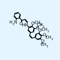 COc1cc(/C=C\c2cc(OC)c(OC)c(OC)c2)cc(N/C=C\C(=O)c2ccccc2N)c1OC